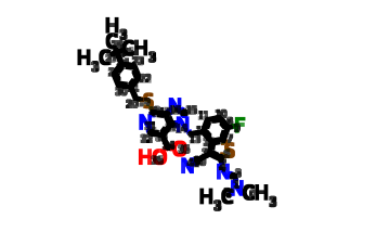 CN(C)/C=N/c1sc2c(F)ccc(Cn3cnc4c(SCc5ccc(C(C)(C)C)cc5)ncc(C(=O)O)c43)c2c1C#N